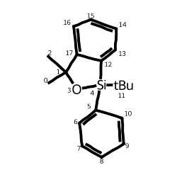 CC1(C)O[Si](c2ccccc2)(C(C)(C)C)c2ccccc21